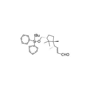 C[C@@H](C=CC=O)[C@@]1(C)CC[C@@H](CO[Si](c2ccccc2)(c2ccccc2)C(C)(C)C)C1(C)C